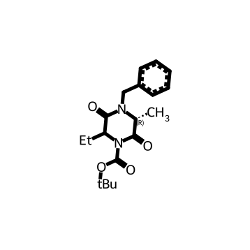 CCC1C(=O)N(Cc2ccccc2)[C@H](C)C(=O)N1C(=O)OC(C)(C)C